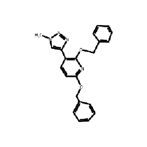 Cn1cc(-c2ccc(OCc3ccccc3)nc2OCc2ccccc2)nn1